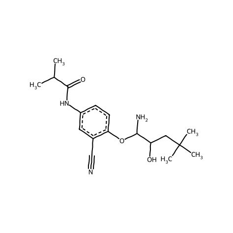 CC(C)C(=O)Nc1ccc(OC(N)C(O)CC(C)(C)C)c(C#N)c1